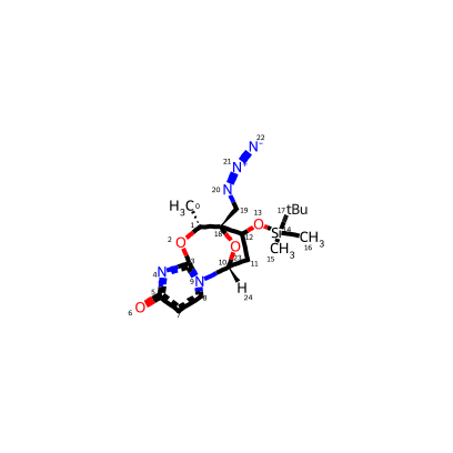 C[C@H]1Oc2nc(=O)ccn2[C@H]2CC(O[Si](C)(C)C(C)(C)C)[C@]1(CN=[N+]=[N-])O2